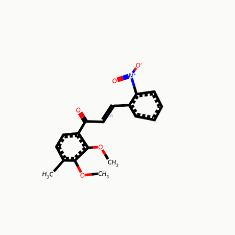 COc1c(C)ccc(C(=O)/C=C/c2ccccc2[N+](=O)[O-])c1OC